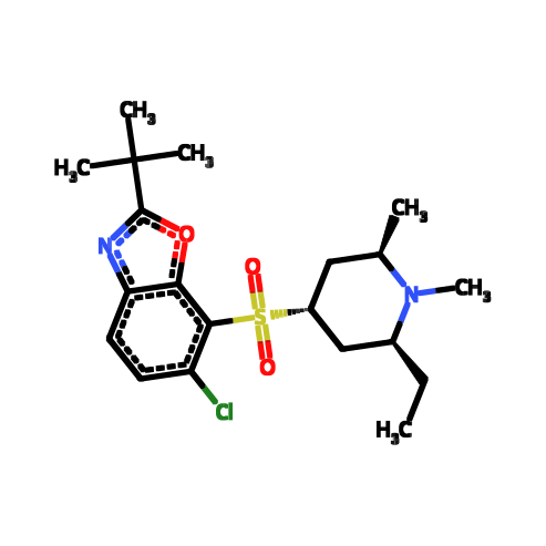 CC[C@H]1C[C@H](S(=O)(=O)c2c(Cl)ccc3nc(C(C)(C)C)oc23)C[C@@H](C)N1C